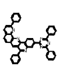 c1ccc(-c2ccc3ccc4cc5c(-c6ccccc6)nc6cc(-c7nc(-c8ccccc8)nc(-c8ccccc8)n7)ccc6c5nc4c3n2)cc1